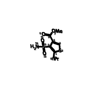 CCCc1scc(C(=O)OC)c1S(N)(=O)=O